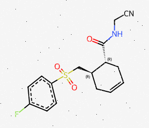 N#CCNC(=O)[C@@H]1CC=CC[C@H]1CS(=O)(=O)c1ccc(F)cc1